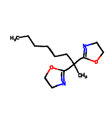 CCCCCCC(C)(C1=NCCO1)C1=NCCO1